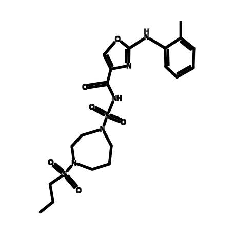 CCCS(=O)(=O)N1CCCN(S(=O)(=O)NC(=O)c2coc(Nc3ccccc3C)n2)CC1